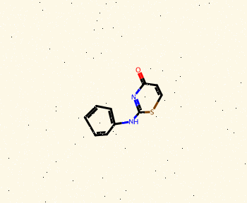 O=c1ccsc(Nc2ccccc2)n1